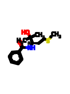 CSCC[C@@H](NC(=O)c1ccccc1)C(C)(C)O